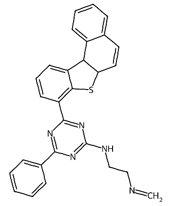 C=NCCNc1nc(-c2ccccc2)nc(-c2cccc3c2SC2C=Cc4ccccc4C32)n1